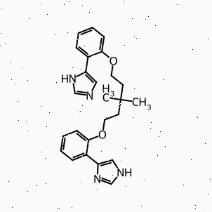 CC(C)(CCOc1ccccc1-c1c[nH]cn1)CCOc1ccccc1-c1cnc[nH]1